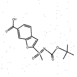 CC(C)(C)OC(=O)N=S(C)(=O)c1cc2ccc(C(=O)O)cc2o1